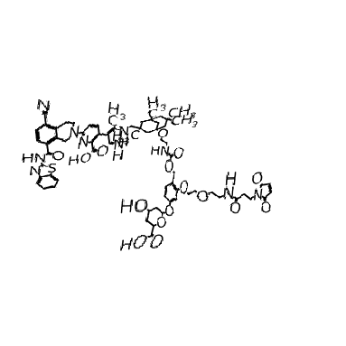 C/C(NCC1(C)CC2(C)CC(C)(C)CC(OCCNC(=O)OCc3ccc(OC4CC(O)CC(C(=O)O)O4)cc3OCCOCCNC(=O)CCN3C(=O)C=CC3=O)(C1)C2)=C(/C=N)c1ccc(N2CCc3c(C#N)ccc(C(=O)Nc4nc5ccccc5s4)c3C2)nc1C(=O)O